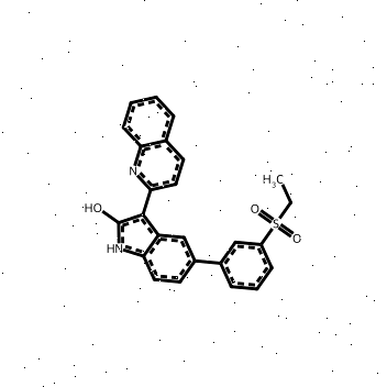 CCS(=O)(=O)c1cccc(-c2ccc3[nH]c(O)c(-c4ccc5ccccc5n4)c3c2)c1